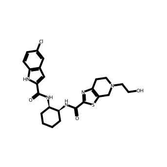 O=C(N[C@@H]1CCCC[C@@H]1NC(=O)c1nc2c(s1)CN(CCO)CC2)c1cc2cc(Cl)ccc2[nH]1